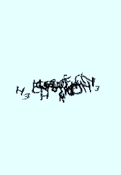 COc1c(C(=O)NC(C)C)cccc1-c1noc(-c2cnn(C[C@@H](C)O)c2C(F)(F)F)c1-c1ccncn1